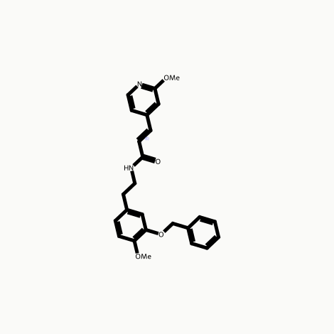 COc1cc(/C=C/C(=O)NCCc2ccc(OC)c(OCc3ccccc3)c2)ccn1